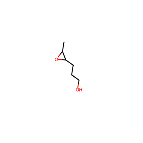 CC1OC1CCCO